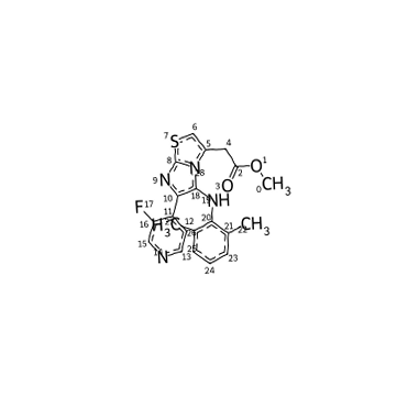 COC(=O)Cc1csc2nc(-c3ccncc3F)c(Nc3c(C)cccc3C)n12